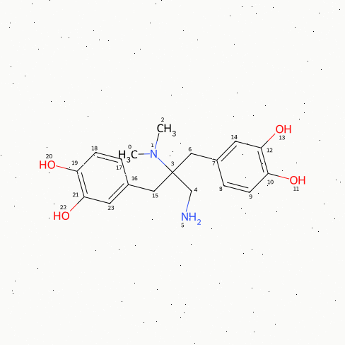 CN(C)C(CN)(Cc1ccc(O)c(O)c1)Cc1ccc(O)c(O)c1